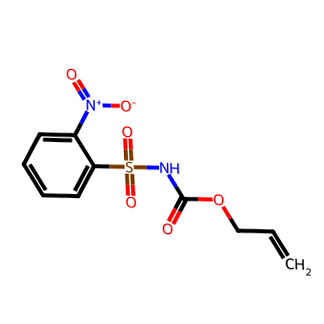 C=CCOC(=O)NS(=O)(=O)c1ccccc1[N+](=O)[O-]